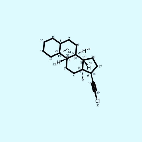 C[C@]12CC[C@H]3[C@@H](CCC4CCCC[C@@]43C)[C@@H]1CC[C@H]2C#CCl